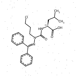 CC(C)C[C@H](NC(=O)N(CCCCl)N=C(c1ccccc1)c1ccccc1)C(=O)O